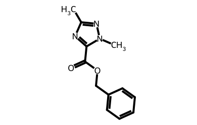 Cc1nc(C(=O)OCc2ccccc2)n(C)n1